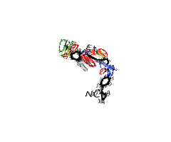 CCS(=O)(=O)c1ccc(-n2ncn(-c3ccc(C4(C#N)CC4)cc3)c2=O)nc1-c1nc2cc(S(=O)(=O)C(F)(F)Cl)ccc2o1